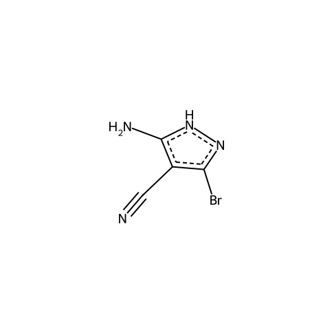 N#Cc1c(Br)n[nH]c1N